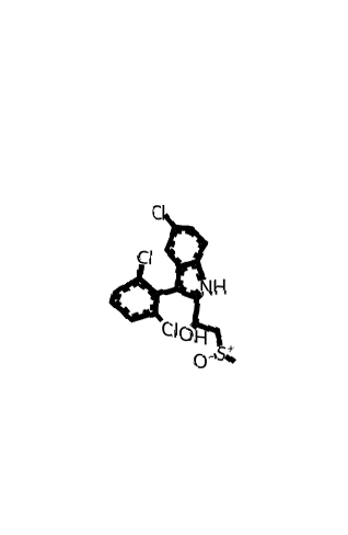 C[S+]([O-])CC(O)c1[nH]c2ccc(Cl)cc2c1-c1c(Cl)cccc1Cl